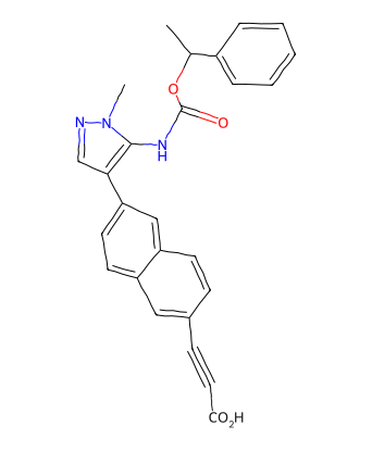 CC(OC(=O)Nc1c(-c2ccc3cc(C#CC(=O)O)ccc3c2)cnn1C)c1ccccc1